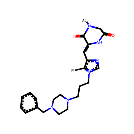 CC(=O)N1CC(=O)N/C(=C\c2ncn(CCCN3CCN(Cc4ccccc4)CC3)c2C(C)C)C1=O